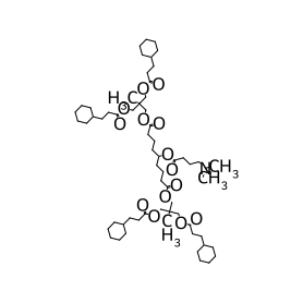 CN(C)CCCC(=O)OC(CCCC(=O)OCC(C)(COC(=O)CCC1CCCCC1)COC(=O)CCC1CCCCC1)CCCC(=O)OCC(C)(COC(=O)CCC1CCCCC1)COC(=O)CCC1CCCCC1